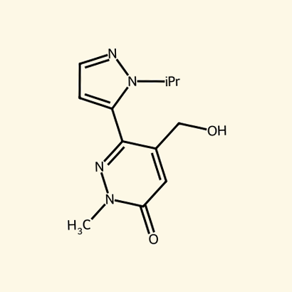 CC(C)n1nccc1-c1nn(C)c(=O)cc1CO